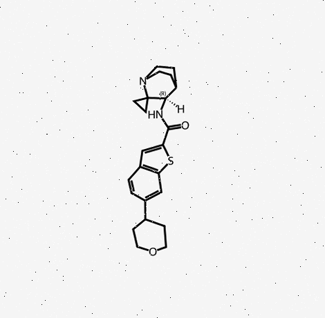 O=C(N[C@@H]1C2CCN(CC2)C12CC2)c1cc2ccc(C3CCOCC3)cc2s1